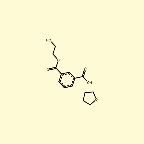 C1CCOC1.O=C(O)c1cccc(C(=O)OCCO)c1